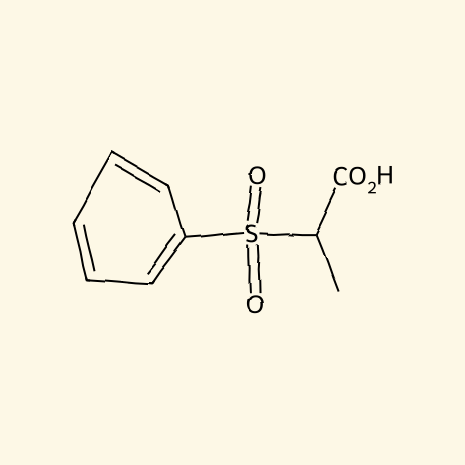 CC(C(=O)O)S(=O)(=O)c1ccccc1